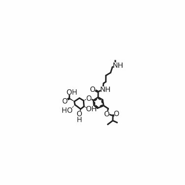 CNCCCCCNC(=O)c1cc(COC(=O)C(C)C)ccc1O[C@H]1C[C@H](C(=O)O)[C@@H](O)[C@H](O)[C@H]1O